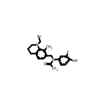 CCCc1ccc(N(Cc2ccc3c(c2C)N(CC(C)=O)CCC3)C(=O)C(F)(F)F)cc1F